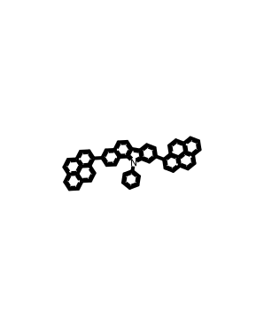 c1ccc(-n2c3cc(-c4ccc5ccc6cccc7ccc4c5c67)ccc3c3ccc4cc(-c5ccc6ccc7cccc8ccc5c6c78)ccc4c32)cc1